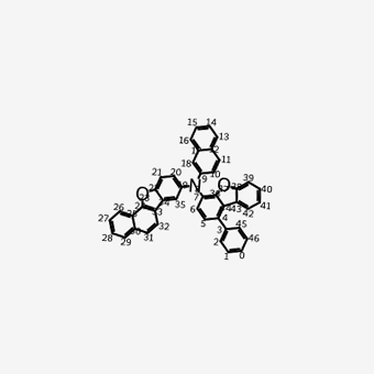 c1ccc(-c2ccc(N(c3ccc4ccccc4c3)c3ccc4oc5c6ccccc6ccc5c4c3)c3oc4ccccc4c23)cc1